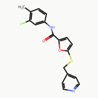 Cc1ccc(NC(=O)c2ccc(SCc3ccncc3)o2)cc1F